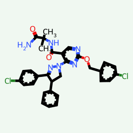 CC(C)(NC(=O)c1cnc(OCc2ccc(Cl)cc2)nc1N1CC(c2ccccc2)C(c2ccc(Cl)cc2)=N1)C(N)=O